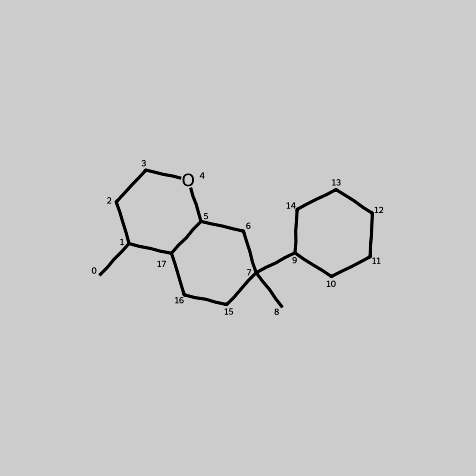 CC1CCOC2CC(C)(C3CCCCC3)CCC12